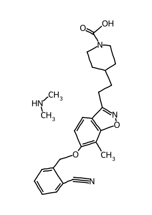 CNC.Cc1c(OCc2ccccc2C#N)ccc2c(CCC3CCN(C(=O)O)CC3)noc12